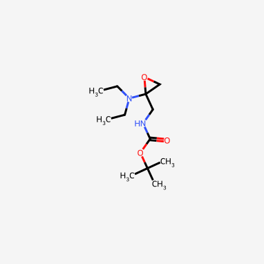 CCN(CC)C1(CNC(=O)OC(C)(C)C)CO1